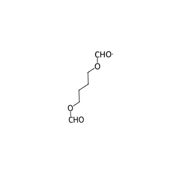 O=[C]OCCCCOC=O